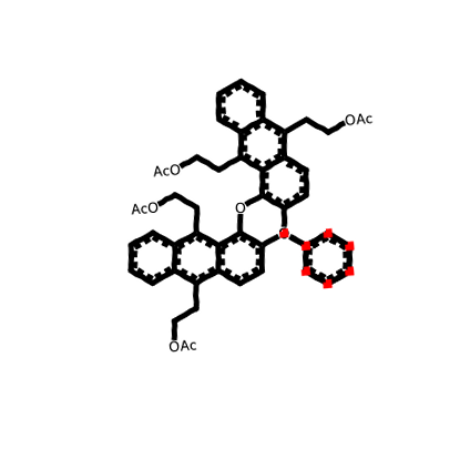 CC(=O)OCCc1c2ccccc2c(CCOC(C)=O)c2c(Oc3c(Oc4ccccc4)ccc4c(CCOC(C)=O)c5ccccc5c(CCOC(C)=O)c34)c(Oc3ccccc3)ccc12